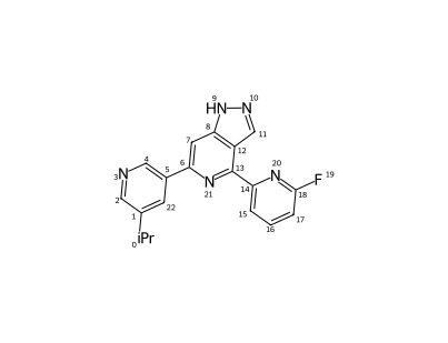 CC(C)c1cncc(-c2cc3[nH]ncc3c(-c3cccc(F)n3)n2)c1